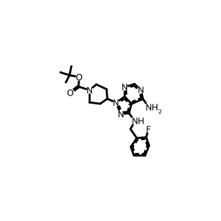 CC(C)(C)OC(=O)N1CCC(n2nc(NCc3ccccc3F)c3c(N)ncnc32)CC1